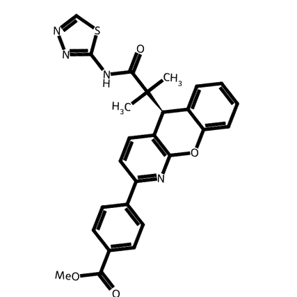 COC(=O)c1ccc(-c2ccc3c(n2)Oc2ccccc2[C@@H]3C(C)(C)C(=O)Nc2nncs2)cc1